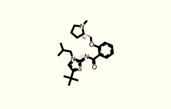 CC(C)Cn1cc(C(C)(C)C)s/c1=N\C(=O)c1ccccc1OC[C@@H]1CCCN1C